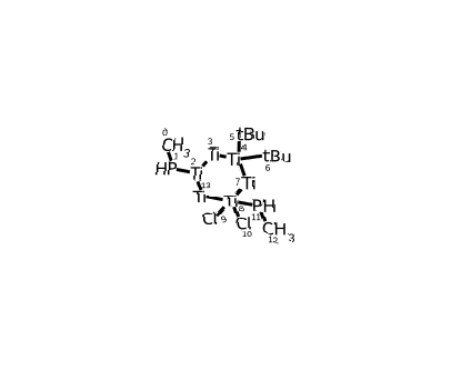 C[PH][Ti]1[Ti][Ti]([C](C)(C)C)([C](C)(C)C)[Ti][Ti]([Cl])([Cl])([PH]C)[Ti]1